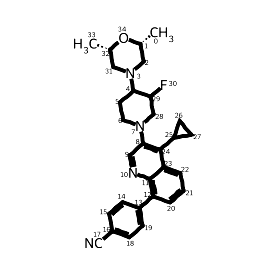 C[C@@H]1CN(C2CCN(c3cnc4c(-c5ccc(C#N)cc5)cccc4c3C3CC3)CC2F)C[C@H](C)O1